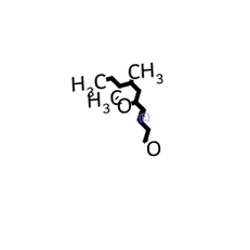 CCCC(C)CC(/C=C/CC=O)OC